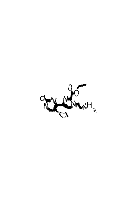 CCOC(=O)c1nc(-c2nc(Cl)ncc2Cl)cn1CCN